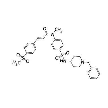 CN(C(=O)C=Cc1ccc(S(C)(=O)=O)cc1)c1ccc(S(=O)(=O)NC2CCN(Cc3ccccc3)CC2)cc1